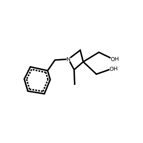 CC1N(Cc2ccccc2)CC1(CO)CO